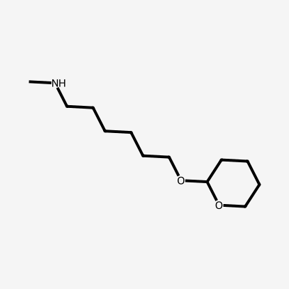 CNCCCCCCOC1CCCCO1